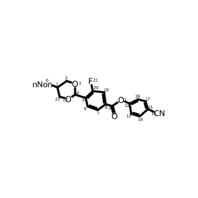 CCCCCCCCCC1COC(c2ccc(C(=O)Oc3ccc(C#N)cc3)cc2F)OC1